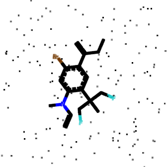 C=CN(C)c1cc(Br)c(C(=C)CC)cc1C(C)(CF)CF